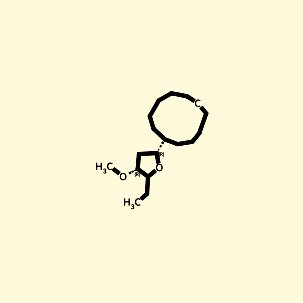 CCC1O[C@@H](C2CCCCCCCCCC2)C[C@H]1OC